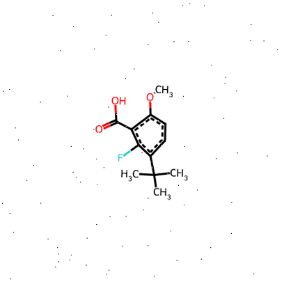 COc1ccc(C(C)(C)C)c(F)c1C(=O)O